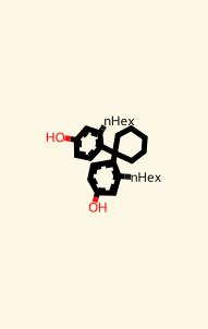 CCCCCCc1cc(O)ccc1C1(c2ccc(O)cc2CCCCCC)CCCCC1